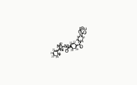 CC(C)(C)OC(=O)N1CCN(C(=O)c2ccc(C(=O)Nc3nc(-c4ccccn4)ns3)cc2)CC1